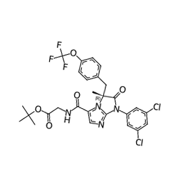 CC(C)(C)OC(=O)CNC(=O)c1cnc2n1[C@](C)(Cc1ccc(OC(F)(F)F)cc1)C(=O)N2c1cc(Cl)cc(Cl)c1